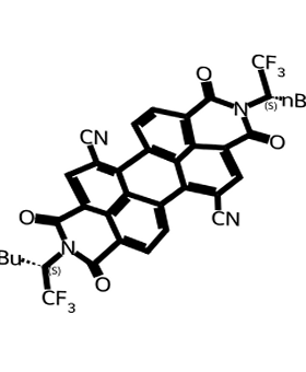 CCCC[C@H](N1C(=O)c2ccc3c4c(C#N)cc5c6c(ccc(c7c(C#N)cc(c2c37)C1=O)c64)C(=O)N([C@@H](CCCC)C(F)(F)F)C5=O)C(F)(F)F